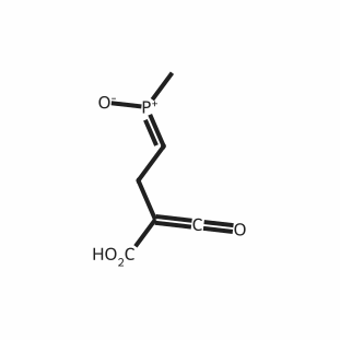 C/[P+]([O-])=C/CC(=C=O)C(=O)O